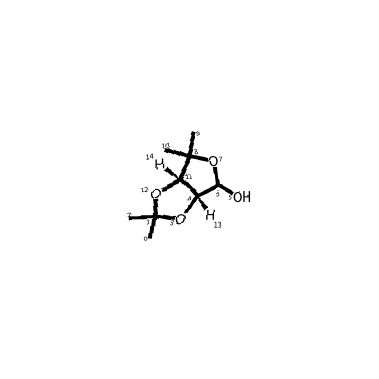 CC1(C)O[C@H]2C(O)OC(C)(C)[C@H]2O1